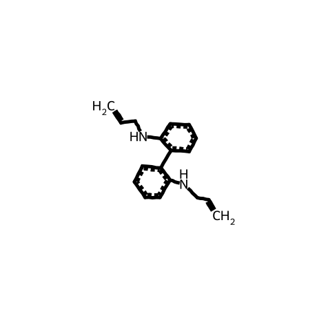 C=CCNc1ccccc1-c1ccccc1NCC=C